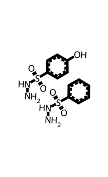 NNS(=O)(=O)c1ccc(O)cc1.NNS(=O)(=O)c1ccccc1